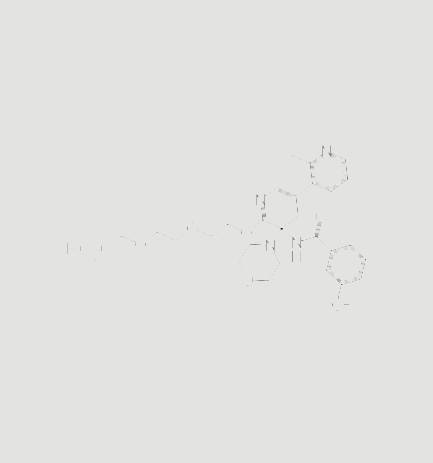 Cc1ncccc1C1=CN=C(OCCOCCOCC(=O)O)C(NC(=O)c2cccc(C(F)(F)F)c2)(N2CCOCC2)C1